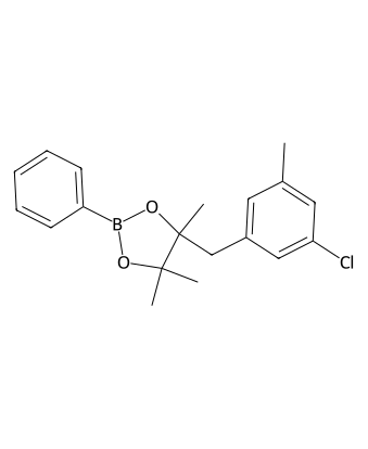 Cc1cc(Cl)cc(CC2(C)OB(c3ccccc3)OC2(C)C)c1